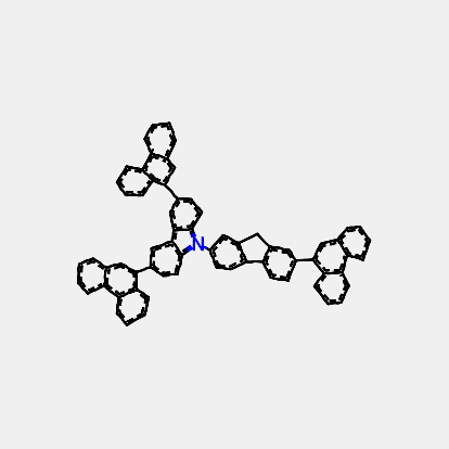 c1ccc2c(c1)cc(-c1ccc3c(c1)Cc1cc(-n4c5ccc(-c6cc7ccccc7c7ccccc67)cc5c5cc(-c6cc7ccccc7c7ccccc67)ccc54)ccc1-3)c1ccccc12